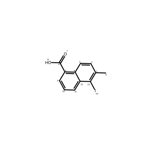 Cc1ccc2c(C(=O)O)cccc2c1I